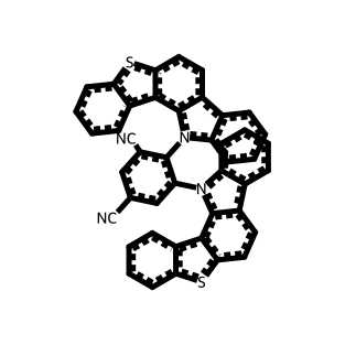 N#Cc1cc(C#N)c(-n2c3ccccc3c3ccc4sc5ccccc5c4c32)c(-n2c3ccccc3c3ccc4sc5ccccc5c4c32)c1